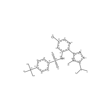 CC(C)c1nnc(-c2ncc(Cl)cc2NS(=O)(=O)c2ccc(C(C)(C)C)cc2)n1C